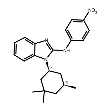 C[C@@H]1C[C@H](n2c(Nc3ccc([N+](=O)[O-])cc3)nc3ccccc32)CC(C)(C)C1